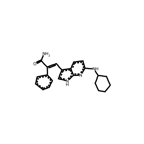 NC(=O)/C(=C/c1c[nH]c2nc(NC3CCCCC3)ccc12)c1ccccc1